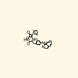 C[C@@H]1CC[C@H](C)N1c1c(N[C@@H](Cc2ccc(Nc3nccc4ccncc34)cc2)C(=O)O)c(=O)c1=O